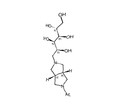 CC(=O)N1C[C@H]2CN(C[C@H](O)[C@@H](O)[C@H](O)[C@H](O)CO)C[C@H]2C1